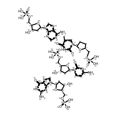 Cc1cn([C@H]2CC[C@@H](COP(=O)(O)O)O2)c(=O)[nH]c1=O.Nc1ccn([C@H]2C[C@H](O)[C@@H](COP(=O)(O)O)O2)c(=O)n1.Nc1nc2c(ncn2[C@H]2C[C@H](O)[C@@H](COP(=O)(O)O)O2)c(=O)[nH]1.Nc1ncnc2c1ncn2[C@H]1C[C@H](O)[C@@H](COP(=O)(O)O)O1